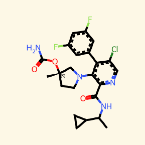 CC(NC(=O)c1ncc(Cl)c(-c2cc(F)cc(F)c2)c1N1CC[C@](C)(OC(N)=O)C1)C1CC1